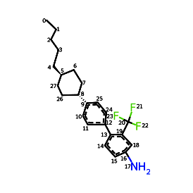 CCCCC[C@H]1CC[C@H](c2ccc(-c3ccc(N)cc3C(F)(F)F)cc2)CC1